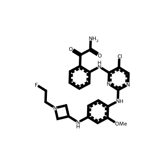 COc1cc(NC2CN(CCF)C2)ccc1Nc1ncc(Cl)c(Nc2ccccc2C(=O)C(N)=O)n1